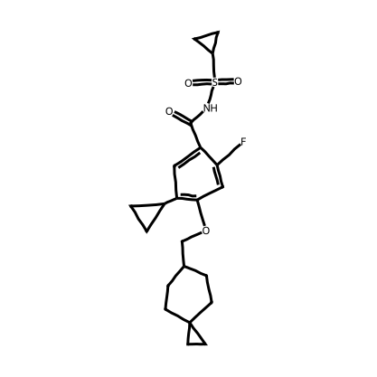 O=C(NS(=O)(=O)C1CC1)c1cc(C2CC2)c(OCC2CCC3(CC2)CC3)cc1F